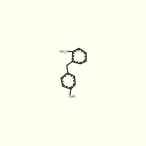 O=Cc1ccc(Cc2ccccc2C(=O)O)cc1